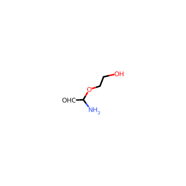 NC(C=O)OCCO